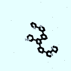 C1=CC(c2cc(-c3cccc(-c4ccnc(-c5ccccn5)c4)c3)cc(-c3cccc(-c4ccnc(-c5ccccn5)c4)c3)c2)=CNC1